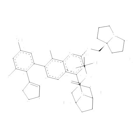 CC(C)(C)OC(=O)N1[C@@H]2CC[C@H]1CN(c1nc(OC[C@@]34CCCN3C[C@H](F)C4)nc3c(F)c(-c4cc(N)cc(Cl)c4C4=CCCC4)ccc13)C2